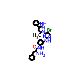 CC(Cc1c[nH]c2ccccc12)Nc1nc(Nc2cccc(NC(=O)C(N)Cc3ccccc3)c2)ncc1Br